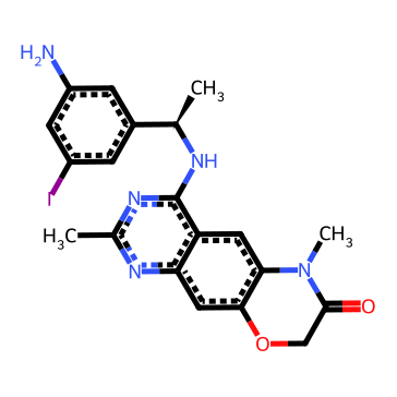 Cc1nc(N[C@H](C)c2cc(N)cc(I)c2)c2cc3c(cc2n1)OCC(=O)N3C